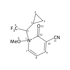 CO[N+]1(C(C2CC2)C(F)(F)F)C=CC=C(C#N)C1=O